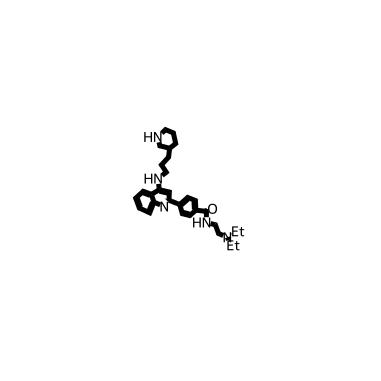 CCN(CC)CCNC(=O)c1ccc(-c2cc(NCCCC3CCCNC3)c3ccccc3n2)cc1